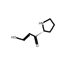 O=C(C=CO)[C@H]1CCCN1